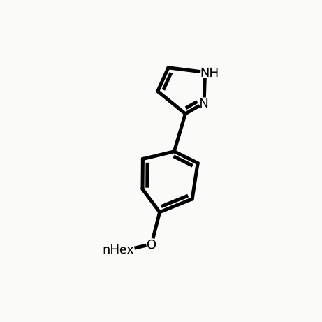 CCCCCCOc1ccc(-c2cc[nH]n2)cc1